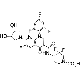 O=C(NC1CCN(C(=O)O)CC1(F)F)c1cn(-c2c(F)cc(F)cc2F)c2nc(N3C[C@@H](O)[C@H](O)C3)c(F)cc2c1=O